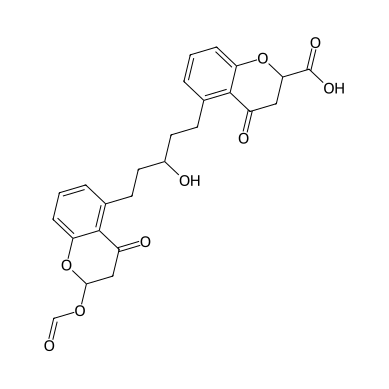 O=COC1CC(=O)c2c(CCC(O)CCc3cccc4c3C(=O)CC(C(=O)O)O4)cccc2O1